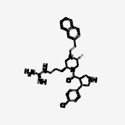 C[C@@H]1CN(C(=O)C2CNCC2c2ccc(Cl)cc2)[C@@H](CCCNC(=N)N)CN1CCc1ccc2ccccc2c1